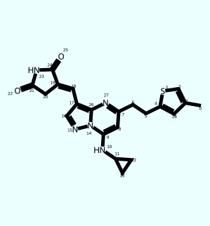 Cc1csc(CCc2cc(NC3CC3)n3ncc(/C=C4\CC(=O)NC4=O)c3n2)c1